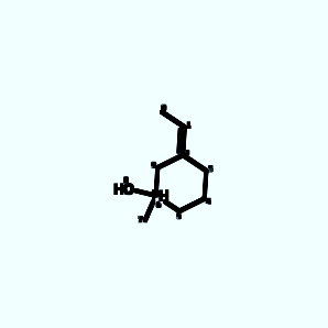 C/C=C1/CCC[PH](C)(O)C1